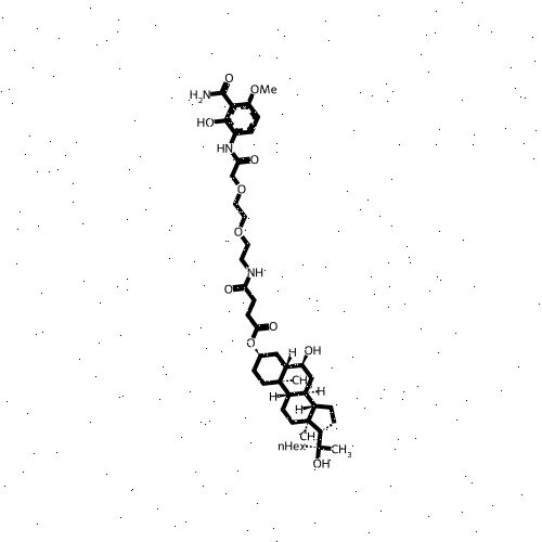 CCCCCC[C@](C)(O)[C@H]1CC[C@H]2[C@@H]3C[C@H](O)[C@H]4C[C@@H](OC(=O)CCC(=O)NCCOCCOCC(=O)Nc5ccc(OC)c(C(N)=O)c5O)CC[C@]4(C)[C@H]3CC[C@@]21C